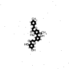 COc1cc2oc(-c3ccc(C)cc3)cc(=O)c2c(O)c1-c1cc(-c2cc(=O)c3c(O)cc(O)cc3o2)ccc1O